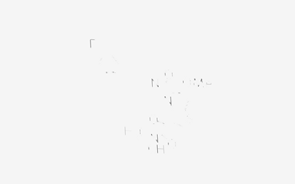 COc1cc2scc(C(=O)C(=O)N(C)C)c2nc1C(=O)N1CCC(Cc2ccc(F)cc2)CC1